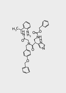 CC(CNC(=O)CN(Cc1ccc(OCc2ccccc2)cc1)C(=O)[C@@H](CNC(=O)OCc1ccccc1)c1cnc[nH]1)c1ccccc1N